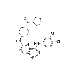 O=C([C@H]1CC[C@H](Nc2ncc3ncnc(Nc4ccc(Cl)c(Cl)c4)c3n2)CC1)N1CCCC1